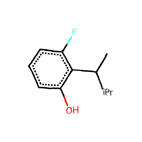 CC(C)C(C)c1c(O)cccc1F